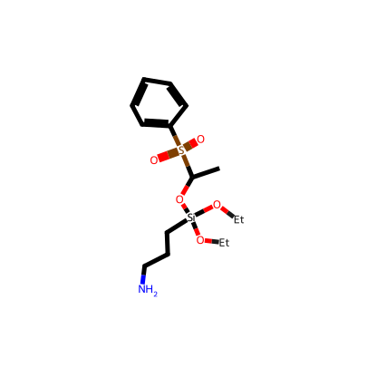 CCO[Si](CCCN)(OCC)OC(C)S(=O)(=O)c1ccccc1